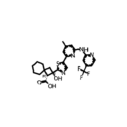 Cc1cc(Nc2cc(C(F)(F)F)ccn2)nc(-c2cnc([C@@]3(O)CC4(CCCCC4)[C@H]3C(=O)O)s2)c1